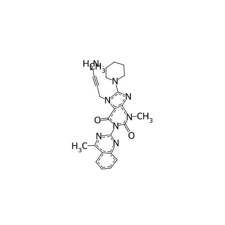 CC#CCn1c(N2CCC[C@@H](N)C2)nc2c1c(=O)n(-c1nc(C)c3ccccc3n1)c(=O)n2C